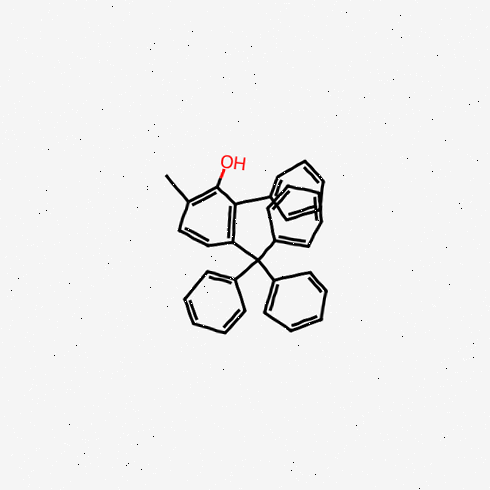 Cc1ccc(C(c2ccccc2)(c2ccccc2)c2ccccc2)c(-c2ccccc2)c1O